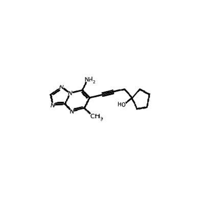 Cc1nc2ncnn2c(N)c1C#CCC1(O)CCCC1